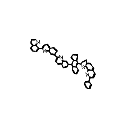 c1ccc(-c2ccc3ccc4ccc(-c5c6ccccc6c(-c6ccc7ccc(-c8ccc9ccc(-c%10cccc%11cccnc%10%11)nc9c8)nc7c6)c6ccccc56)nc4c3n2)cc1